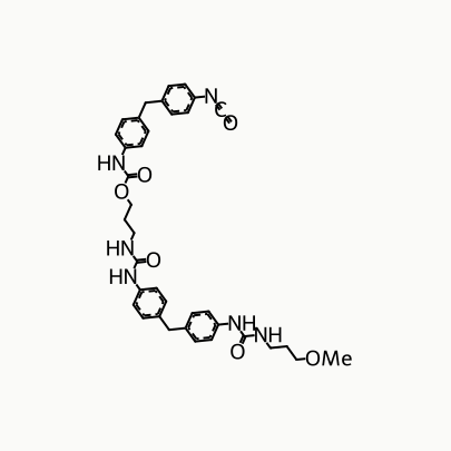 COCCCNC(=O)Nc1ccc(Cc2ccc(NC(=O)NCCCOC(=O)Nc3ccc(Cc4ccc(N=C=O)cc4)cc3)cc2)cc1